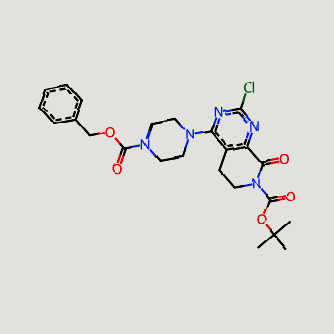 CC(C)(C)OC(=O)N1CCc2c(nc(Cl)nc2N2CCN(C(=O)OCc3ccccc3)CC2)C1=O